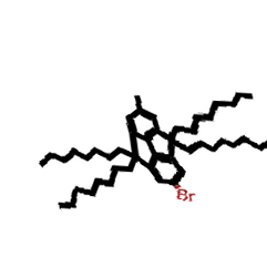 CCCCCCCCC1(CCCCCCCC)c2cc(C)cc3c2-c2c1cc(Br)cc2C3(CCCCCCCC)CCCCCCCC